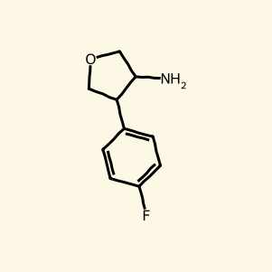 NC1COCC1c1ccc(F)cc1